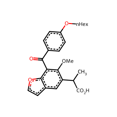 CCCCCCOc1ccc(C(=O)c2c(OC)c(C(C)C(=O)O)cc3ccoc23)cc1